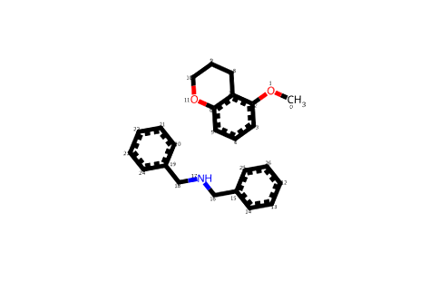 COc1cccc2c1CCCO2.c1ccc(CNCc2ccccc2)cc1